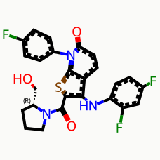 O=C(c1sc2c(ccc(=O)n2-c2ccc(F)cc2)c1Nc1ccc(F)cc1F)N1CCC[C@@H]1CO